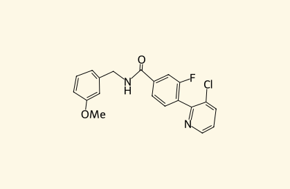 COc1cccc(CNC(=O)c2ccc(-c3ncccc3Cl)c(F)c2)c1